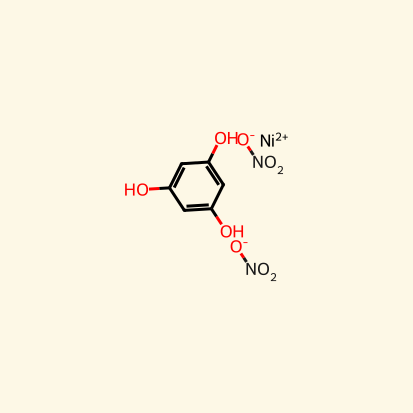 O=[N+]([O-])[O-].O=[N+]([O-])[O-].Oc1cc(O)cc(O)c1.[Ni+2]